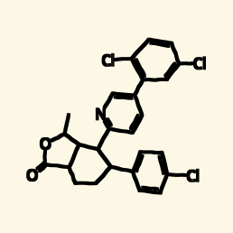 CC1OC(=O)C2CCC(c3ccc(Cl)cc3)C(c3ccc(-c4cc(Cl)ccc4Cl)cn3)C12